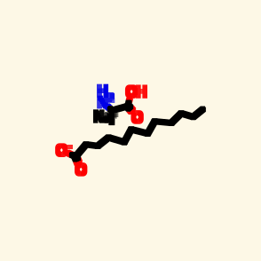 CC(N)C(=O)O.CCCCCCCCCCCC(=O)[O-].[Na+]